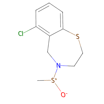 C[S+]([O-])N1CCSc2cccc(Cl)c2C1